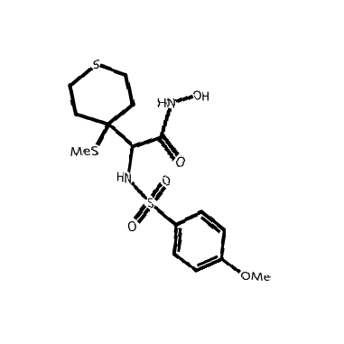 COc1ccc(S(=O)(=O)NC(C(=O)NO)C2(SC)CCSCC2)cc1